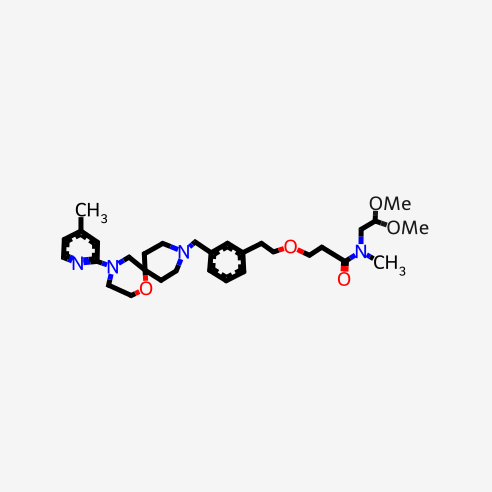 COC(CN(C)C(=O)CCOCCc1cccc(CN2CCC3(CC2)CN(c2cc(C)ccn2)CCO3)c1)OC